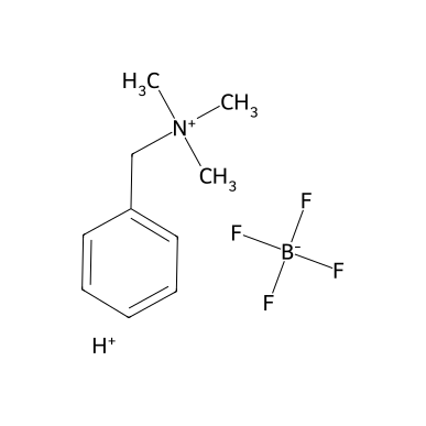 C[N+](C)(C)Cc1ccccc1.F[B-](F)(F)F.[H+]